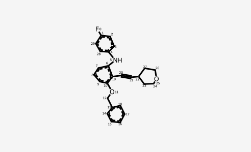 Fc1ccc(Nc2cccc(OCc3ccccc3)c2C#CC2CCOCC2)cc1